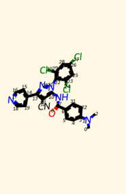 CN(C)c1ccc(C(=O)Nc2c(C#N)c(-c3ccncc3)nn2-c2c(Cl)cc(Cl)cc2Cl)cc1